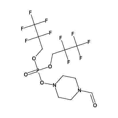 O=CN1CCN(OP(=O)(OCC(F)(F)C(F)(F)F)OCC(F)(F)C(F)(F)F)CC1